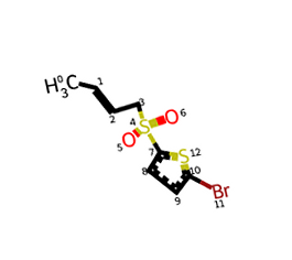 CC=CCS(=O)(=O)c1ccc(Br)s1